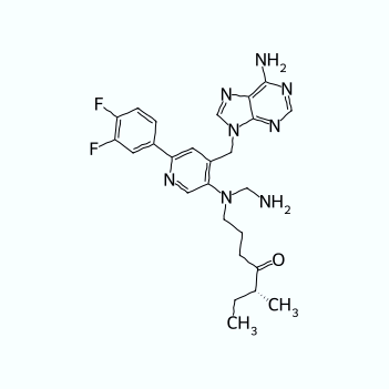 CC[C@@H](C)C(=O)CCCN(CN)c1cnc(-c2ccc(F)c(F)c2)cc1Cn1cnc2c(N)ncnc21